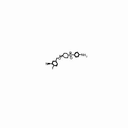 N#Cc1cc(CON=C2CCN(S(=O)(=O)c3ccc(N)cc3)CC2)ccc1F